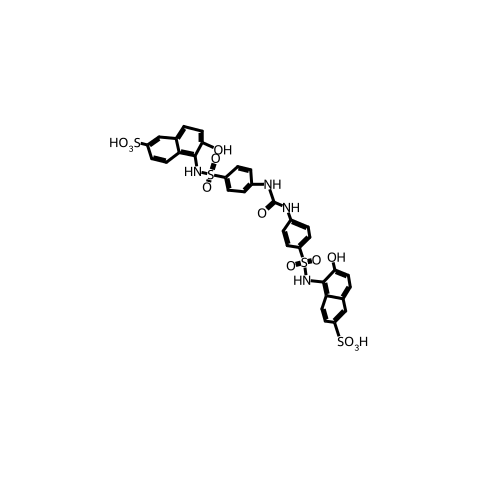 O=C(Nc1ccc(S(=O)(=O)Nc2c(O)ccc3cc(S(=O)(=O)O)ccc23)cc1)Nc1ccc(S(=O)(=O)Nc2c(O)ccc3cc(S(=O)(=O)O)ccc23)cc1